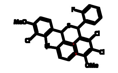 COc1ccc(C(SC(c2ccccc2F)c2ccc(OC)c(Cl)c2Cl)c2ccccc2F)c(Cl)c1Cl